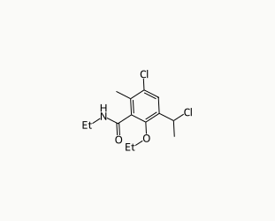 CCNC(=O)c1c(C)c(Cl)cc(C(C)Cl)c1OCC